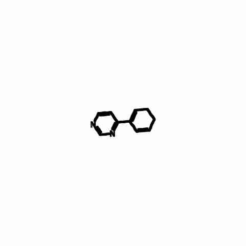 C1=CC(c2ccncn2)=CCC1